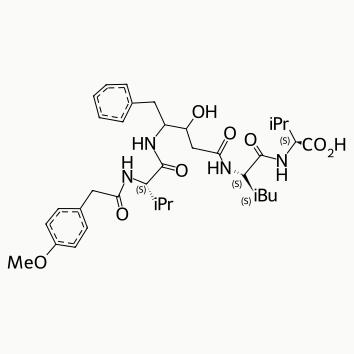 CC[C@H](C)[C@H](NC(=O)CC(O)C(Cc1ccccc1)NC(=O)[C@@H](NC(=O)Cc1ccc(OC)cc1)C(C)C)C(=O)N[C@H](C(=O)O)C(C)C